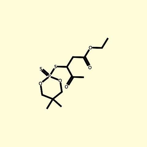 CCOC(=O)CC(SP1(=S)OCC(C)(C)CO1)C(C)=O